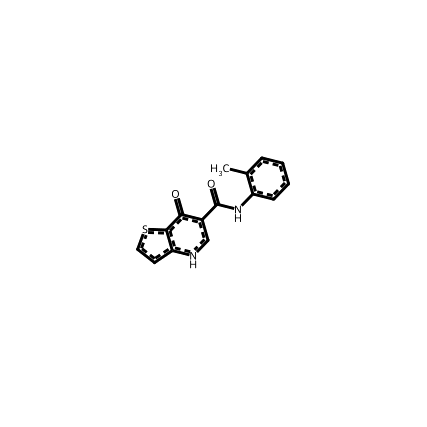 Cc1ccccc1NC(=O)c1c[nH]c2ccsc2c1=O